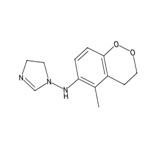 Cc1c(NN2C=NCC2)ccc2c1CCOO2